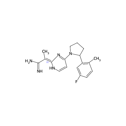 C/C(C(=N)N)=C1\N=C(N2CCCC2c2cc(F)ccc2C)C=CN1